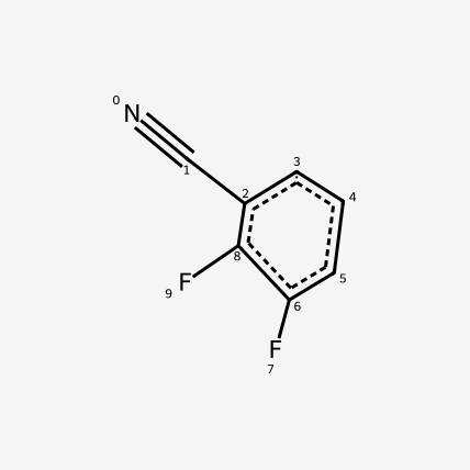 N#Cc1[c]ccc(F)c1F